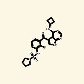 O=C(c1cccc(NS(=O)(=O)N2CCCC2)c1F)c1c[nH]c2ncnc(NC3CCC3)c12